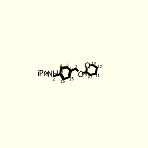 CC(C)NCc1ccc(COC2CCCCO2)cc1